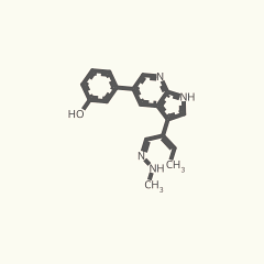 C/C=C(\C=N/NC)c1c[nH]c2ncc(-c3cccc(O)c3)cc12